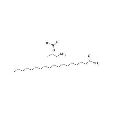 CCCCCCCCCCCCCCCCCC(N)=O.CCCN.O=[N+]([O-])O